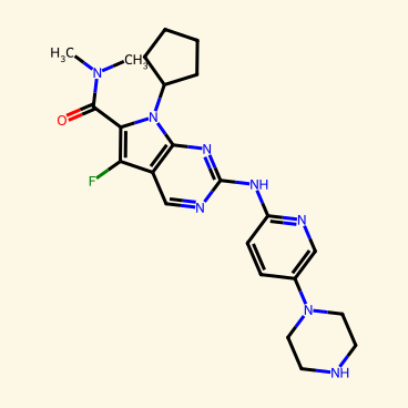 CN(C)C(=O)c1c(F)c2cnc(Nc3ccc(N4CCNCC4)cn3)nc2n1C1CCCC1